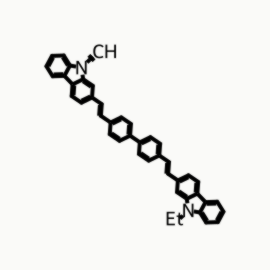 C#Cn1c2ccccc2c2ccc(C=Cc3ccc(-c4ccc(C=Cc5ccc6c7ccccc7n(CC)c6c5)cc4)cc3)cc21